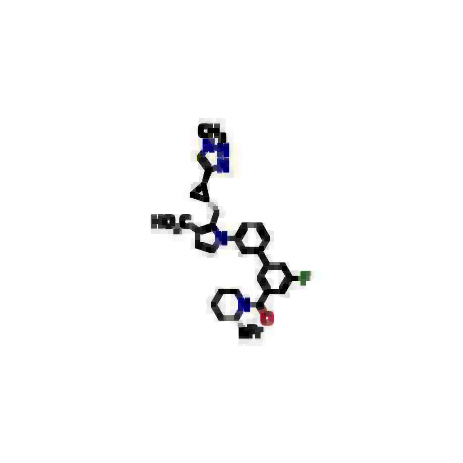 CCC[C@@H]1CCCCN1C(=O)c1cc(F)cc(-c2cccc(-n3ccc(C(=O)O)c3C[C@@H]3C[C@H]3c3cn(C)nn3)c2)c1